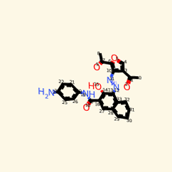 CC(=O)c1coc(C(C)=O)c1/N=N/c1c(O)c(C(=O)Nc2ccc(N)cc2)cc2ccccc12